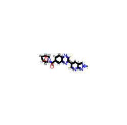 Cn1cc2cc(-c3cnc4ccc(C(=O)N5CC6CC(C5)O6)cc4n3)cnc2n1